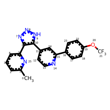 Cc1cccc(-c2nn[nH]c2-c2ccnc(-c3ccc(OC(F)(F)F)cc3)c2)n1